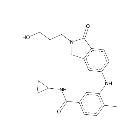 Cc1ccc(C(=O)NC2CC2)cc1Nc1ccc2c(c1)CN(CCCO)C2=O